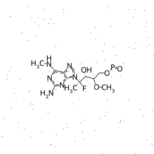 CNc1nc(N)nc2c1ncn2[C@](C)(F)[C@H](O)C(COP=O)OC